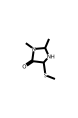 CSC1NC(C)N(C)C1=O